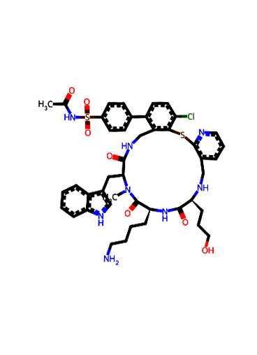 CC(=O)NS(=O)(=O)c1ccc(-c2ccc(Cl)c3c2CNC(=O)C(Cc2c[nH]c4ccccc24)N(C)C(=O)[C@H](CCCCN)NC(=O)[C@H](CCCO)NCc2cccnc2S3)cc1